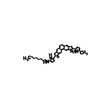 CCCCCCCCNc1ccc(-c2cc3cc4ccc5cc6cc(-c7ccc(C)[nH]7)sc6cc5c4cc3s2)[nH]1